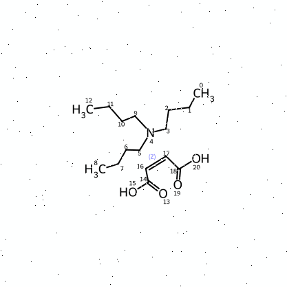 CCCCN(CCCC)CCCC.O=C(O)/C=C\C(=O)O